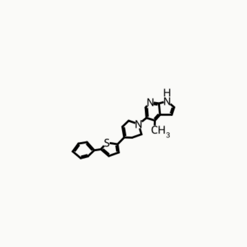 Cc1c(N2CC=C(c3ccc(-c4ccccc4)s3)CC2)cnc2[nH]ccc12